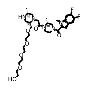 C[C@@H]1CN(CC(=O)N2CCN(C(=O)c3cc4cc(F)c(F)cc4n3C)C[C@H]2C)[C@@H](COCCOCCOCCOCCO)CN1